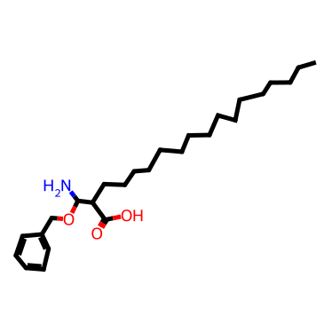 CCCCCCCCCCCCCCCCC(C(=O)O)C(N)OCc1ccccc1